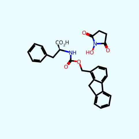 O=C(N[C@@H](Cc1ccccc1)C(=O)O)OCc1cccc2c1Cc1ccccc1-2.O=C1CCC(=O)N1O